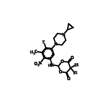 CCC1(CC)C(=O)OC(Nc2cc(N3CCN(C4CC4)CC3)c(F)c(C)c2[N+](=O)[O-])OC1=O